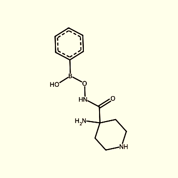 NC1(C(=O)NOB(O)c2ccccc2)CCNCC1